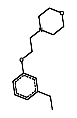 CCc1cccc(OCCN2CCOCC2)c1